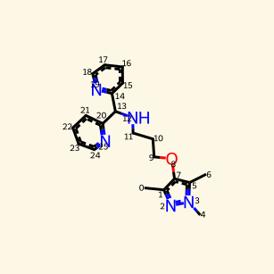 Cc1nn(C)c(C)c1OCCCNC(c1ccccn1)c1ccccn1